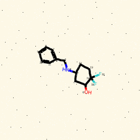 OC1CC(NCc2ccccc2)CCC1(F)F